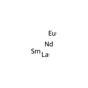 [Eu].[La].[Nd].[Sm]